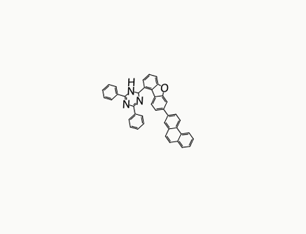 c1ccc(C2=NC(c3cccc4oc5cc(-c6ccc7c(ccc8ccccc87)c6)ccc5c34)NC(c3ccccc3)=N2)cc1